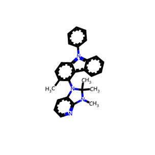 Cc1ccc2c(c1N1c3cccnc3N(C)C1(C)C)c1ccccc1n2-c1ccccc1